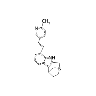 Cc1ccc(C=Cc2cccc3c4c([nH]c23)CN2CCC4CC2)cn1